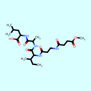 CCC(C)C(NC(=O)CCNC(=O)CCC(=O)OC)C(=O)NC(C)C(=O)NC(CC(C)C)C(=O)O